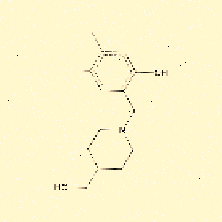 Cc1cc(O)c(CN2CCC(CO)CC2)cc1C